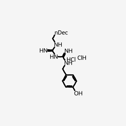 CCCCCCCCCCCNC(=N)NC(=N)NCc1ccc(O)cc1.Cl.Cl